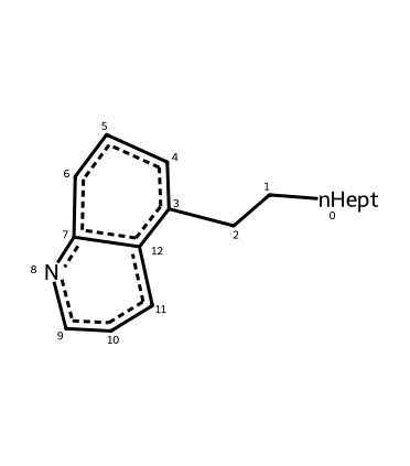 CCCCCCCCCc1cccc2ncccc12